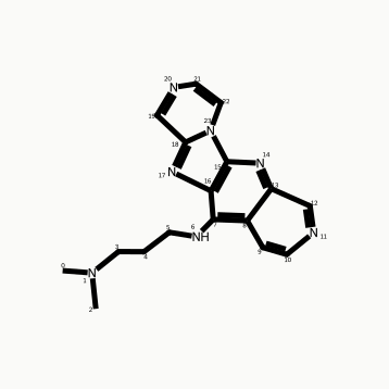 CN(C)CCCNc1c2ccncc2nc2c1nc1cnccn12